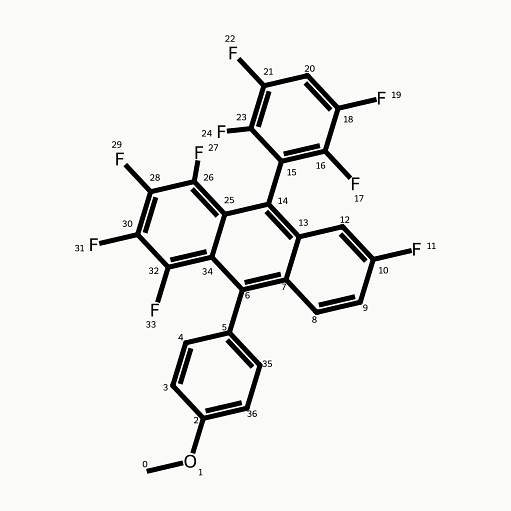 COc1ccc(-c2c3ccc(F)cc3c(-c3c(F)c(F)cc(F)c3F)c3c(F)c(F)c(F)c(F)c23)cc1